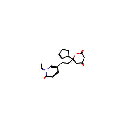 CCn1cc(CCC2(C3CCCC3)CC(=O)CC(=O)O2)ccc1=O